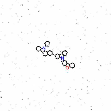 c1ccc(-n2c3ccccc3c3ccc4cc(-c5ccc6c(c5)c5ccccc5n6-c5ccc6oc7ccccc7c6c5)ccc4c32)cc1